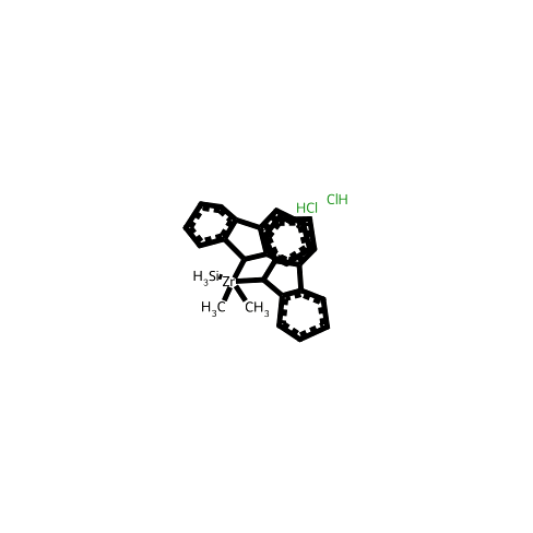 Cl.Cl.[CH3][Zr]([CH3])([SiH3])([CH]1c2ccccc2-c2ccccc21)[CH]1c2ccccc2-c2ccccc21